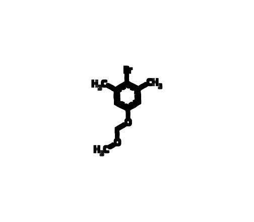 COCOc1cc(C)c(Br)c(C)c1